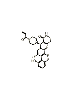 C=CC(=O)N1CCN(c2c3c(nc4c(F)c(-c5c(O)cccc5F)c(Cl)cc24)CCNC3=O)CC1